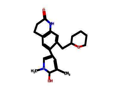 CC1=CC(c2cc3c(cc2CC2CCCCO2)NC(=O)CC3)=CN(C)C1O